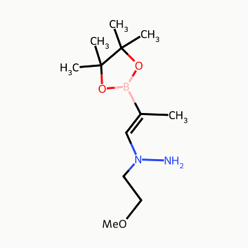 COCCN(N)/C=C(\C)B1OC(C)(C)C(C)(C)O1